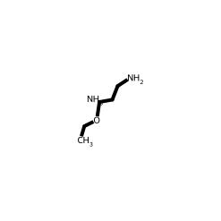 CCOCCCN.N